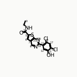 CCNC(=O)c1cc2cnc(-c3cc(O)c(Cl)cc3Cl)nc2s1